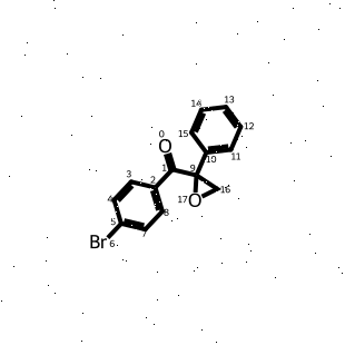 O=C(c1ccc(Br)cc1)C1(c2ccccc2)CO1